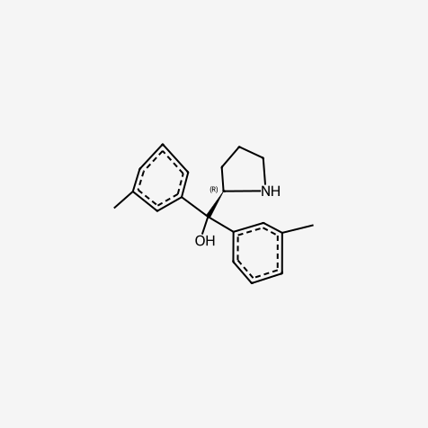 Cc1cccc(C(O)(c2cccc(C)c2)[C@H]2CCCN2)c1